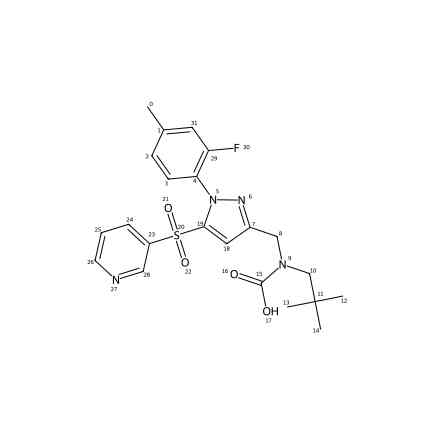 Cc1ccc(-n2nc(CN(CC(C)(C)C)C(=O)O)cc2S(=O)(=O)c2cccnc2)c(F)c1